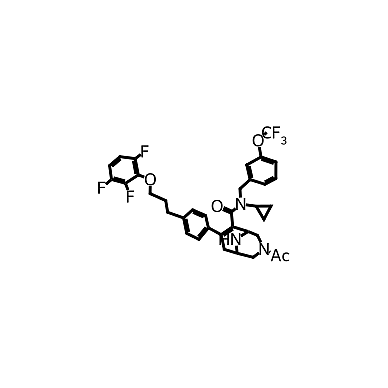 CC(=O)N1CC2CC(c3ccc(CCCOc4c(F)ccc(F)c4F)cc3)=C(C(=O)N(Cc3cccc(OC(F)(F)F)c3)C3CC3)C(C1)N2